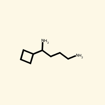 NCCCC(N)C1CCC1